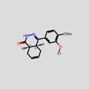 CCOc1cc(C2=NNC(=O)[C@H]3CC=CC[C@@H]23)ccc1OC